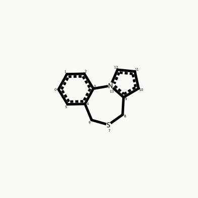 c1ccc2c(c1)CSCc1cccn1-2